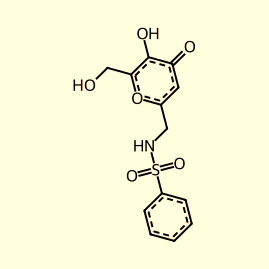 O=c1cc(CNS(=O)(=O)c2ccccc2)oc(CO)c1O